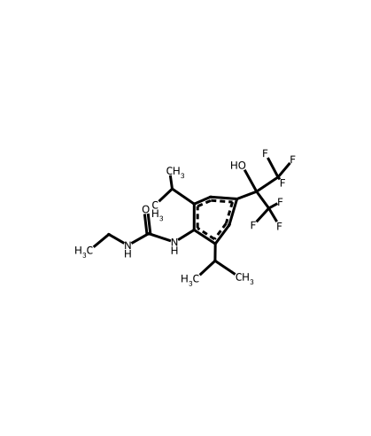 CCNC(=O)Nc1c(C(C)C)cc(C(O)(C(F)(F)F)C(F)(F)F)cc1C(C)C